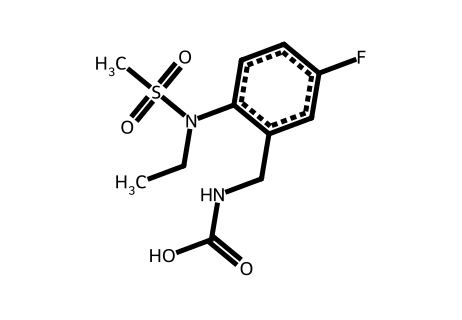 CCN(c1ccc(F)cc1CNC(=O)O)S(C)(=O)=O